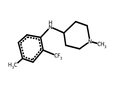 Cc1ccc(NC2CCN(C)CC2)c(C(F)(F)F)c1